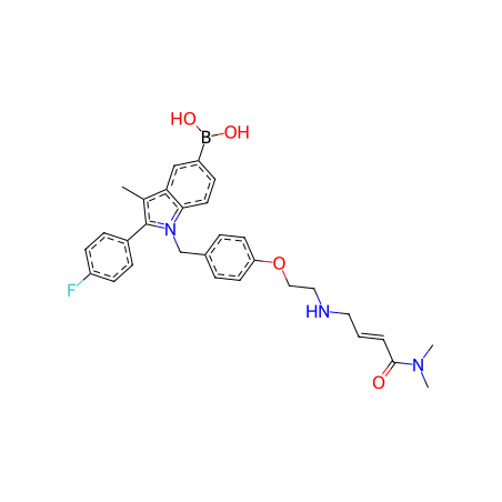 Cc1c(-c2ccc(F)cc2)n(Cc2ccc(OCCNC/C=C/C(=O)N(C)C)cc2)c2ccc(B(O)O)cc12